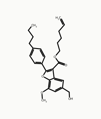 C=CCCCCOC(=O)c1c(-c2ccc(CCCC)cc2)oc2c(OC)cc(CO)cc12